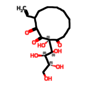 C=CC1CCCCCCCC(=O)[C@@](O)([C@@H](O)[C@H](O)[C@H](O)CO)C(=O)C1=O